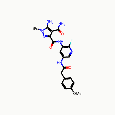 COc1ccc(CC(=O)Nc2cnc(F)c(NC(=O)c3nn(C(C)C)c(N)c3C(N)=O)c2)cc1